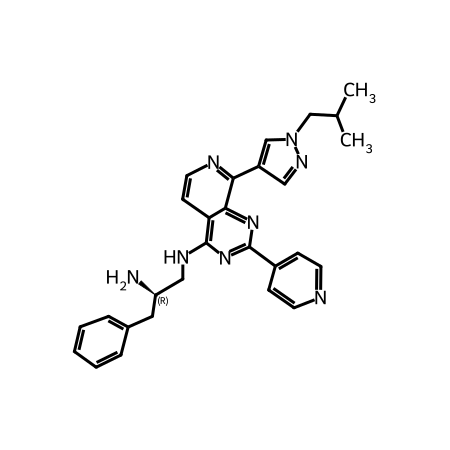 CC(C)Cn1cc(-c2nccc3c(NC[C@H](N)Cc4ccccc4)nc(-c4ccncc4)nc23)cn1